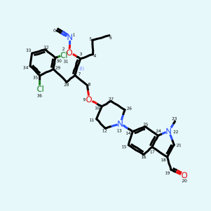 C=NO/C(CCC)=C(/COC1CCN(c2ccc3c(C=O)cn(C)c3c2)CC1)Cc1c(Cl)cccc1Cl